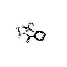 NS(=O)(=O)N(C(=O)c1ccccc1)[N+](=O)[O-]